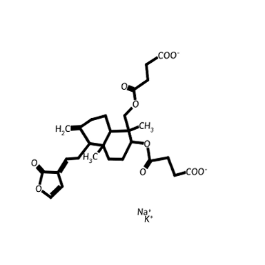 C=C1CCC2C(C)(COC(=O)CCC(=O)[O-])C(OC(=O)CCC(=O)[O-])CCC2(C)C1CC=C1C=COC1=O.[K+].[Na+]